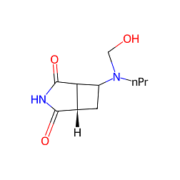 CCCN(CO)C1C[C@@H]2C(=O)NC(=O)C12